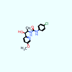 COc1ccc(C(O)C(C)NC(=O)Nc2ccc(Cl)cc2)nc1